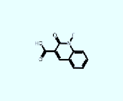 O=C(O)c1cc2ccccc2n(F)c1=O